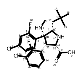 CN[C@]1(c2ccc(Cl)cc2F)[C@H](CC(C)(C)C)N[C@H](C(=O)O)[C@@H]1c1cccc(Cl)c1F